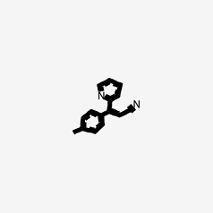 Cc1ccc(C(=CC#N)c2ccccn2)cc1